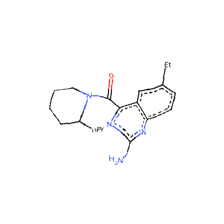 CCCC1CCCCN1C(=O)c1nc(N)nc2ccc(CC)cc12